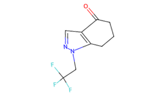 O=C1CCCc2c1cnn2CC(F)(F)F